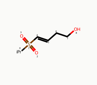 CC(C)S(=O)(=O)/C=C/CCO